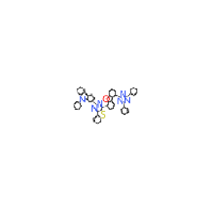 c1ccc(-c2nc(-c3ccccc3)nc(-c3cccc4oc5c(-c6nc(-c7ccc8c9ccccc9n(-c9ccccc9)c8c7)nc7c6sc6ccccc67)cccc5c34)n2)cc1